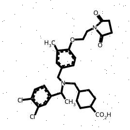 Cc1cc(CN(CC2CCC(C(=O)O)CC2)C(C)c2ccc(Cl)c(Cl)c2)ccc1OCCN1C(=O)CCC1=O